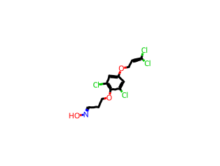 ON=CCCOc1c(Cl)cc(OCC=C(Cl)Cl)cc1Cl